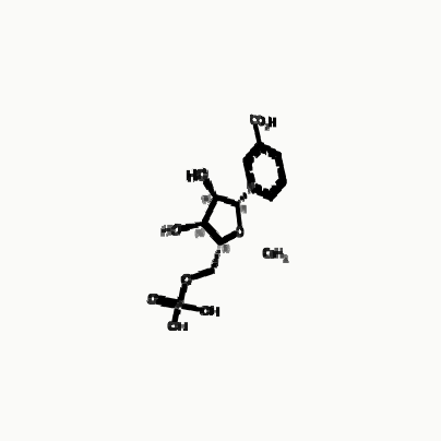 O=C(O)c1ccc[n+]([C@@H]2O[C@H](COP(=O)(O)O)[C@@H](O)[C@H]2O)c1.[CaH2]